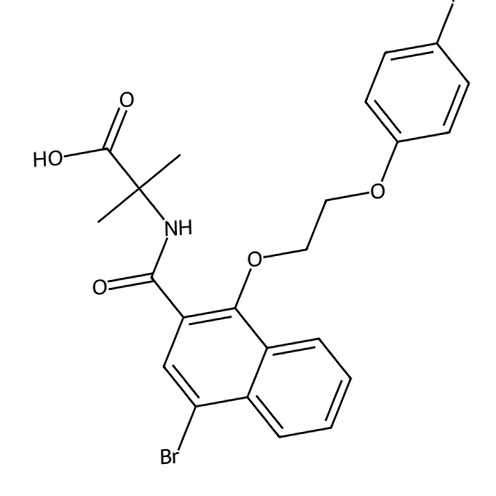 CC(C)(NC(=O)c1cc(Br)c2ccccc2c1OCCOc1ccc(F)cc1)C(=O)O